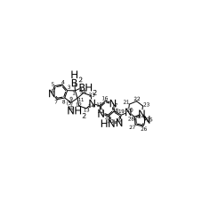 BC1(B)c2ccncc2[C@@H](N)C12CCN(c1cnc3c(N4CCCn5nccc54)n[nH]c3n1)CC2